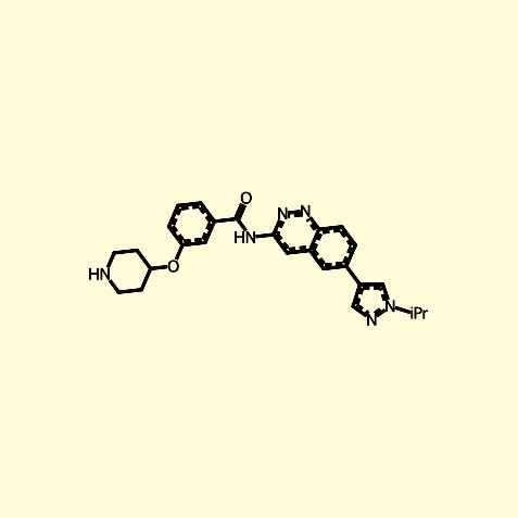 CC(C)n1cc(-c2ccc3nnc(NC(=O)c4cccc(OC5CCNCC5)c4)cc3c2)cn1